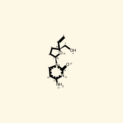 C=C[C@@]1(CO)CC[C@H](n2ccc(N)nc2=O)O1